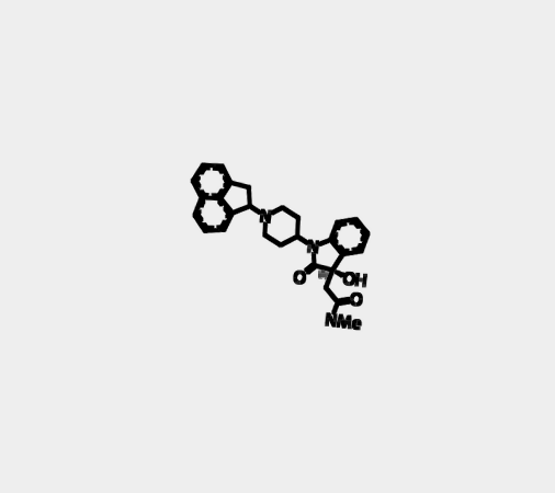 CNC(=O)C[C@]1(O)C(=O)N(C2CCN(C3Cc4cccc5cccc3c45)CC2)c2ccccc21